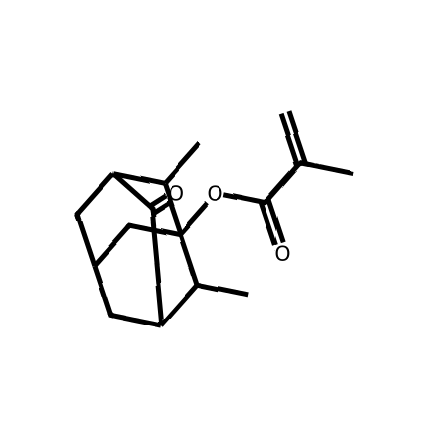 C=C(C)C(=O)OC12CC3CC(C(=O)C(C3)C1C)C2C